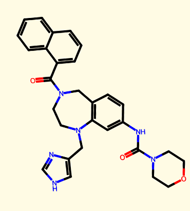 O=C(Nc1ccc2c(c1)N(Cc1c[nH]cn1)CCN(C(=O)c1cccc3ccccc13)C2)N1CCOCC1